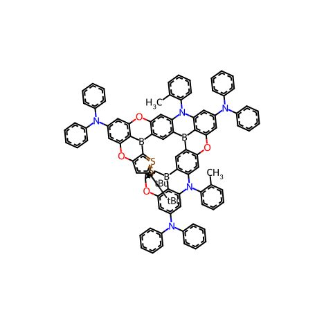 Cc1ccccc1N1c2cc3c(cc2B2c4cc5c(cc4Oc4cc(N(c6ccccc6)c6ccccc6)cc1c42)N(c1ccccc1C)c1cc(N(c2ccccc2)c2ccccc2)cc2c1B5c1sc(C(C)(C)C)cc1O2)B1c2sc(C(C)(C)C)cc2Oc2cc(N(c4ccccc4)c4ccccc4)cc(c21)O3